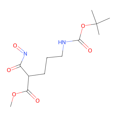 COC(=O)C(CCCNC(=O)OC(C)(C)C)C(=O)N=O